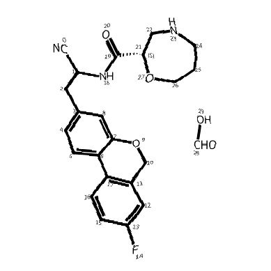 N#CC(Cc1ccc2c(c1)OCc1cc(F)ccc1-2)NC(=O)[C@@H]1CNCCCO1.O=CO